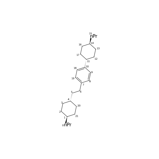 CCC[C@H]1CC[C@H](CCc2ccc([C@H]3CC[C@H](CCC)CC3)cc2)CC1